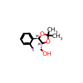 CC1(C)O[C@H](c2ccccc2I)[C@@H](CO)O1